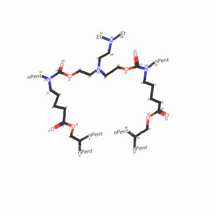 CCCCCC(CCCCC)COC(=O)CCCCN(CCCCC)C(=O)OCCN(CCOC(=O)N(CCCCC)CCCCC(=O)OCC(CCCCC)CCCCC)CCN(CC)CC